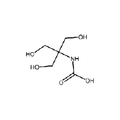 O=C(O)NC(CO)(CO)CO